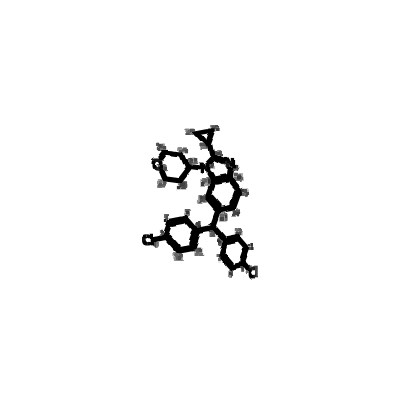 Clc1ccc(C(c2ccc(Cl)cc2)c2ccc3nc(C4CC4)n(C4CCOCC4)c3c2)cc1